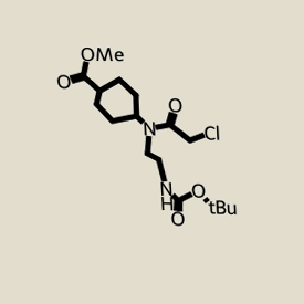 COC(=O)C1CCC(N(CCNC(=O)OC(C)(C)C)C(=O)CCl)CC1